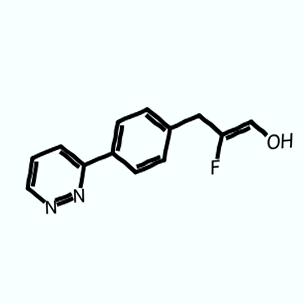 O/C=C(\F)Cc1ccc(-c2cccnn2)cc1